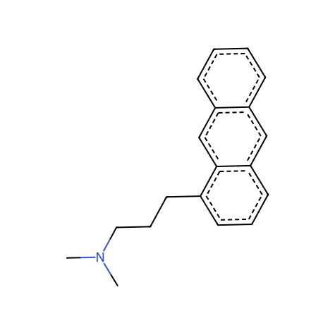 CN(C)CCCc1cccc2cc3ccccc3cc12